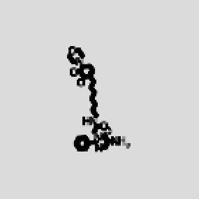 Nc1cnc(-c2ccccc2)n(CC(=O)NCCCCCCCC2=CC=C(N3CCOCC3)C(=O)C2=O)c1=O